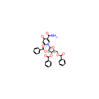 NC(=O)c1cn([C@H]2O[C@@H](COC(=O)c3ccccc3)[C@H](OC(=O)c3ccccc3)[C@@H]2OC(=O)c2ccccc2)ccc1=O